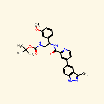 COc1cccc(C(CNC(=O)OC(C)(C)C)NC(=O)c2cc(-c3ccc4[nH]nc(C)c4c3)ccn2)c1